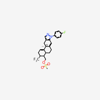 C[C@]12Cc3cnn(-c4ccc(F)cc4)c3C=C1CCC1C2=CCC(C(F)(F)F)C1COS(C)(=O)=O